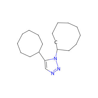 c1nnn(C2CCCCCCCC2)c1C1CCCCCCC1